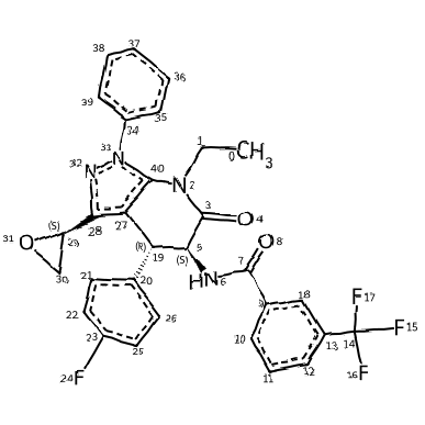 CCN1C(=O)[C@@H](NC(=O)c2cccc(C(F)(F)F)c2)[C@H](c2ccc(F)cc2)c2c([C@H]3CO3)nn(-c3ccccc3)c21